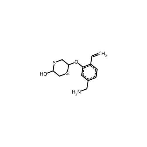 C=Cc1ccc(CN)cc1OC1CSC(O)CS1